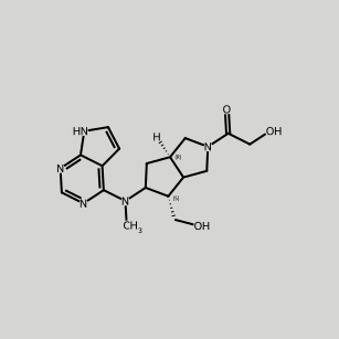 CN(c1ncnc2[nH]ccc12)C1C[C@H]2CN(C(=O)CO)CC2[C@@H]1CO